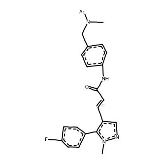 CC(=O)N(C)Cc1ccc(NC(=O)/C=C/c2cnn(C)c2-c2ccc(F)cc2)cc1